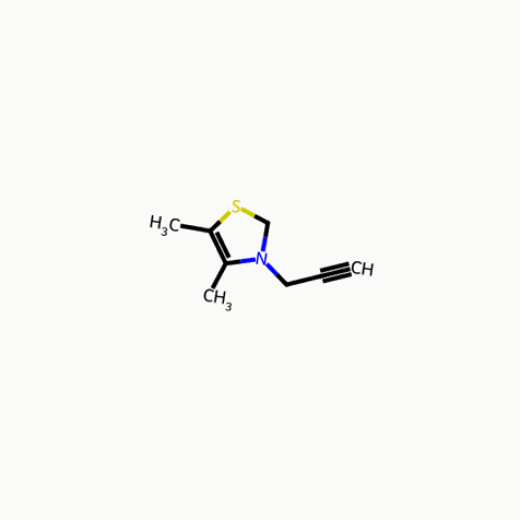 C#CCN1CSC(C)=C1C